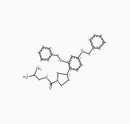 CC(C)COC(=O)N1CCC(c2ccc(OCc3ccccc3)cc2OCc2ccccc2)C1